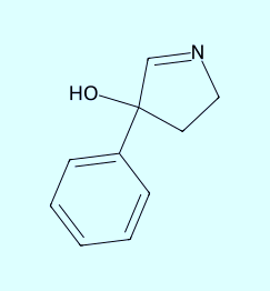 OC1(c2ccccc2)C=NCC1